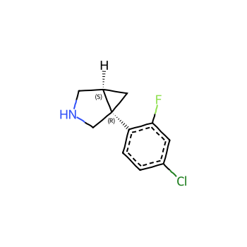 Fc1cc(Cl)ccc1[C@]12CNC[C@H]1C2